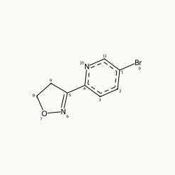 Brc1ccc(C2=NO[CH]C2)nc1